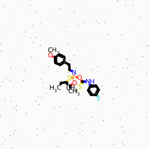 CCOP(=NCCc1ccc(OC)cc1)(OC(=S)Nc1ccc(F)cc1)SC(C)CC